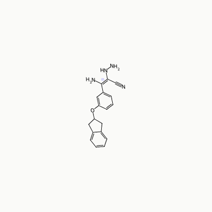 N#C/C(NN)=C(/N)c1cccc(OC2Cc3ccccc3C2)c1